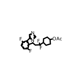 CC(=O)OC1CCC(C(F)(F)CC2c3c(F)ccc(F)c3-c3cncn32)CC1